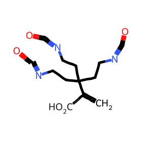 C=C(C(=O)O)C(CCN=C=O)(CCN=C=O)CCN=C=O